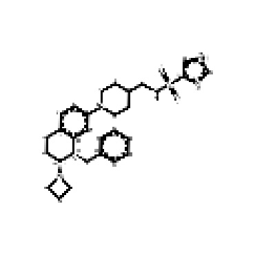 O=S(=O)(NCC1CCN(c2ccc3c(c2)[C@@H](Cc2ccccc2)[C@@H](N2CCC2)CC3)CC1)c1c[nH]cn1